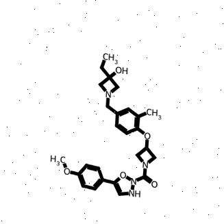 CCC1(O)CN(Cc2ccc(OC3CN(C(=O)N4NC=C(c5ccc(OC)cc5)O4)C3)c(C)c2)C1